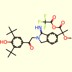 COC(C)(C(=O)OC(=O)C(F)(F)F)c1ccc2c(c1)C(=N)N(CC(=O)c1cc(C(C)(C)C)c(O)c(C(C)(C)C)c1)C2